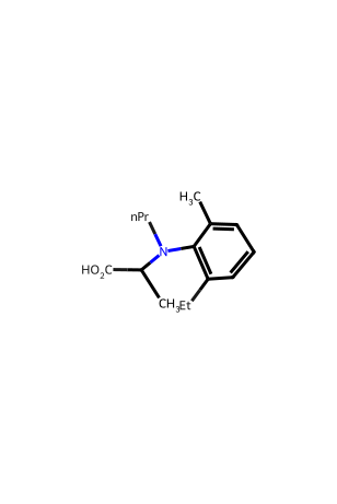 CCCN(c1c(C)cccc1CC)C(C)C(=O)O